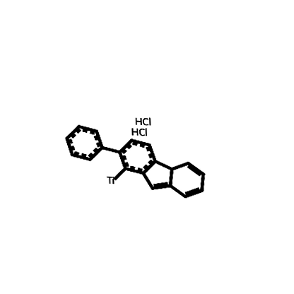 Cl.Cl.[Ti][c]1c(-c2ccccc2)ccc2c1C=C1C=CC=CC12